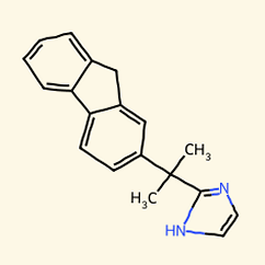 CC(C)(c1ccc2c(c1)Cc1ccccc1-2)c1ncc[nH]1